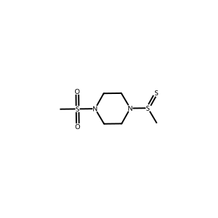 CS(=S)N1CCN(S(C)(=O)=O)CC1